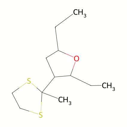 CCC1CC(C2(C)SCCS2)C(CC)O1